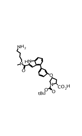 CN(CCCCN)C(=O)c1cc2c(-c3cccc(O[C@H]4C[C@@H](C(=O)O)N(C(=O)OC(C)(C)C)C4)c3)cccc2[nH]1